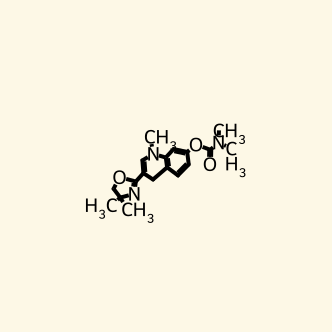 CN(C)C(=O)Oc1ccc2c(c1)N(C)C=C(C1=NC(C)(C)CO1)C2